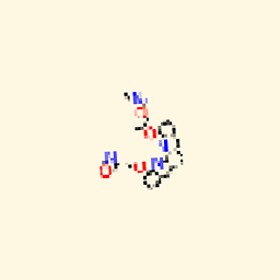 C=C/N=C\OCC(C)Oc1cccc2cc3c(nc12)-c1nc2c(OCCc4cocn4)cccc2cc1CC3